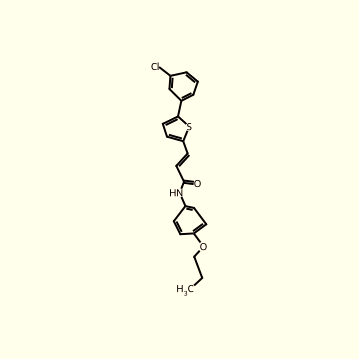 CCCOc1ccc(NC(=O)/C=C/c2ccc(-c3cccc(Cl)c3)s2)cc1